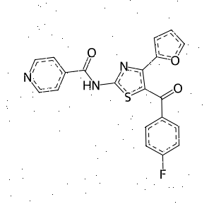 O=C(Nc1nc(-c2ccco2)c(C(=O)c2ccc(F)cc2)s1)c1ccncc1